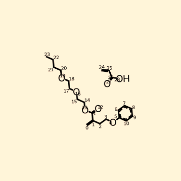 C=C(CCOc1ccccc1)C(=O)OCCOCCOCCCC.C=CC(=O)O